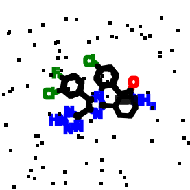 CCCCC(C(N)=O)c1ccc(Cl)cc1-n1c(C2CCCCC2)nc(-c2nn[nH]n2)c1-c1ccc(F)c(Cl)c1